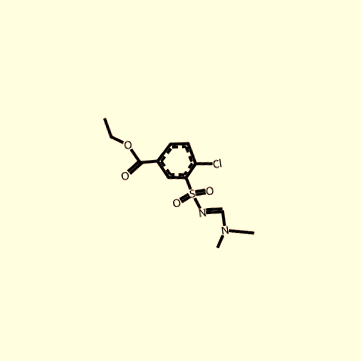 CCOC(=O)c1ccc(Cl)c(S(=O)(=O)N=CN(C)C)c1